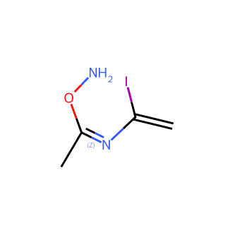 C=C(I)/N=C(/C)ON